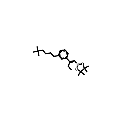 CC/C(=C\B1OC(C)(C)C(C)(C)O1)c1cccc(CCCCC(C)(C)C)c1